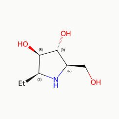 CC[C@@H]1N[C@H](CO)[C@@H](O)[C@@H]1O